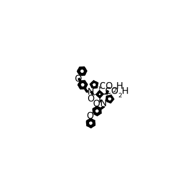 O=C(O)C[C@@H]1[C@@H](CC(=O)O)[C@@H](C(=O)N(Cc2ccc(Oc3ccccc3)cc2)C2CCCC2)[C@@H]1C(=O)N(Cc1ccc(Oc2ccccc2)cc1)C1CCCC1